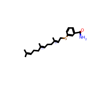 CC(C)=CCC/C(C)=C/CC/C(C)=C/CSc1cccc(C(N)=O)c1